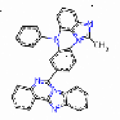 Cc1nc2cccc3c2n1-c1ccc(-c2nc4ccccc4c4nc5ccccc5n24)cc1N3c1ccccc1